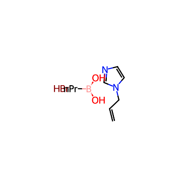 Br.C=CCn1ccnc1.CCCB(O)O